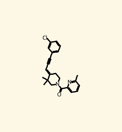 Cc1cccc(C(=O)N2CC/C(=C\C#Cc3cccc(Cl)c3)C(C)(C)C2)n1